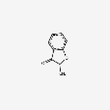 CC1Oc2ccccc2C1=O